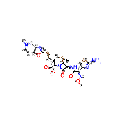 CO/N=C(\C(=O)NC1C(=O)N2C(C(=O)[O-])=C(CSc3nc4c[n+](C)ccc4o3)CS[C@@H]12)c1csc(N)n1